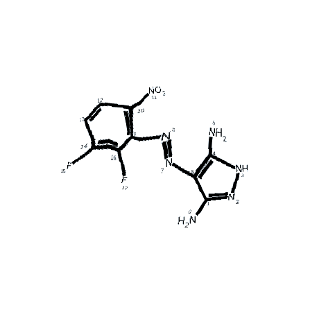 Nc1n[nH]c(N)c1N=Nc1c([N+](=O)[O-])ccc(F)c1F